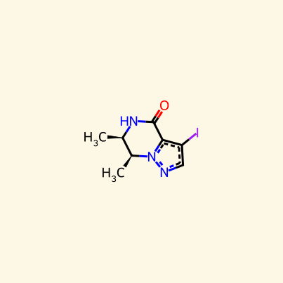 C[C@H]1NC(=O)c2c(I)cnn2[C@H]1C